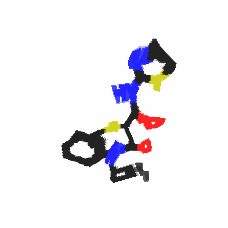 CN1C(=O)C(C(=O)Nc2nccs2)Sc2ccccc21